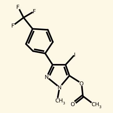 CC(=O)Oc1c(I)c(-c2ccc(C(F)(F)F)cc2)nn1C